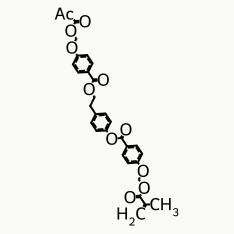 C=C(C)C(=O)OCOc1ccc(C(=O)Oc2ccc(CCOC(=O)c3ccc(OCOC(=O)C(C)=O)cc3)cc2)cc1